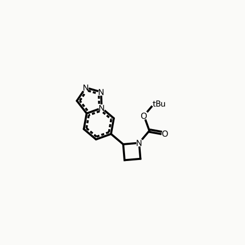 CC(C)(C)OC(=O)N1CCC1c1ccc2cnnn2c1